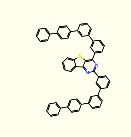 c1ccc(-c2ccc(-c3cccc(-c4cccc(-c5nc(-c6cccc(-c7cccc(-c8ccc(-c9ccccc9)cc8)c7)c6)c6sc7ccccc7c6n5)c4)c3)cc2)cc1